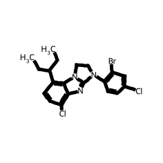 CCC(CC)c1ccc(Cl)c2nc3n(c12)CCN3c1ccc(Cl)cc1Br